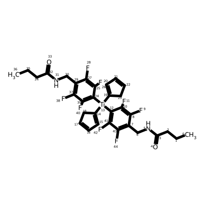 CCCC(=O)NCc1c(F)c(F)[c]([Ti]([C]2=CC=CC2)([C]2=CC=CC2)[c]2c(F)c(F)c(CNC(=O)CCC)c(F)c2F)c(F)c1F